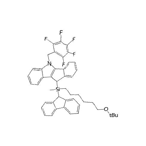 CC(C)(C)OCCCCCC[Si](C)(C1c2ccccc2-c2ccccc21)C1c2ccccc2-c2c1c1ccccc1n2Cc1c(F)c(F)c(F)c(F)c1F